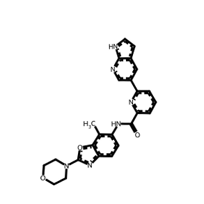 Cc1c(NC(=O)c2cccc(-c3cnc4[nH]ccc4c3)n2)ccc2nc(N3CCOCC3)oc12